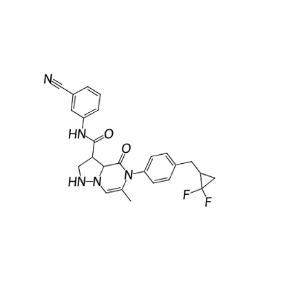 CC1=CN2NCC(C(=O)Nc3cccc(C#N)c3)C2C(=O)N1c1ccc(CC2CC2(F)F)cc1